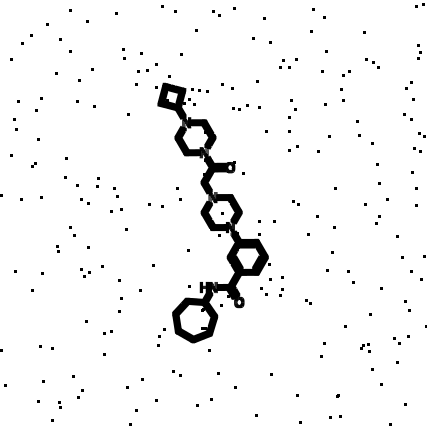 O=C(NC1CCCCCC1)c1cccc(N2CCN(CC(=O)N3CCN(C4CCC4)CC3)CC2)c1